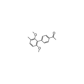 COc1ccc(C)c(OC)c1-c1ccc(C(C)=O)cc1